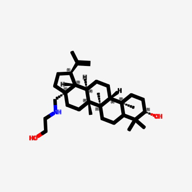 C=C(C)[C@@H]1CC[C@]2(CNCCO)CC[C@]3(C)[C@H](CC[C@@H]4[C@@]5(C)CC[C@H](O)C(C)(C)C5CC[C@]43C)[C@@H]12